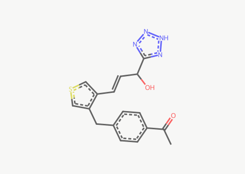 CC(=O)c1ccc(Cc2cscc2C=CC(O)c2nn[nH]n2)cc1